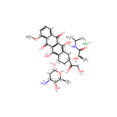 C=CC(=O)NC(C)C.COc1cccc2c1C(=O)c1c(O)c3c(c(O)c1C2=O)C[C@@](O)(C(=O)CO)C[C@@H]3O[C@H]1C[C@H](N)[C@H](O)[C@H](C)O1.Cl